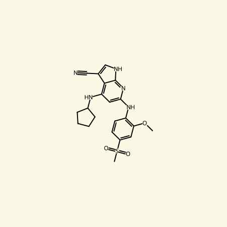 COc1cc(S(C)(=O)=O)ccc1Nc1cc(NC2CCCC2)c2c(C#N)c[nH]c2n1